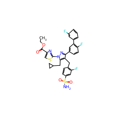 CCOC(=O)c1csc(-n2nc(-c3ccc(F)c(-c4cccc(F)c4)c3)c(Cc3ccc(S(N)(=O)=O)cc3F)c2CC2CC2)n1